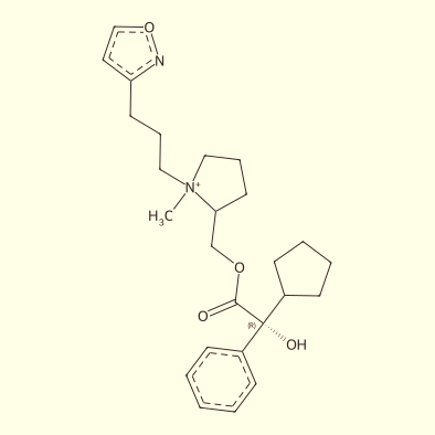 C[N+]1(CCCc2ccon2)CCCC1COC(=O)[C@](O)(c1ccccc1)C1CCCC1